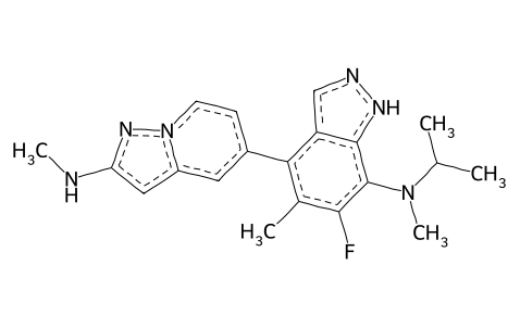 CNc1cc2cc(-c3c(C)c(F)c(N(C)C(C)C)c4[nH]ncc34)ccn2n1